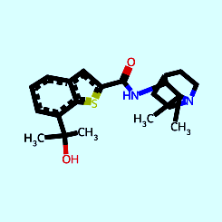 CC(C)(O)c1cccc2cc(C(=O)NC3C4CCN(CC4)C3(C)C)sc12